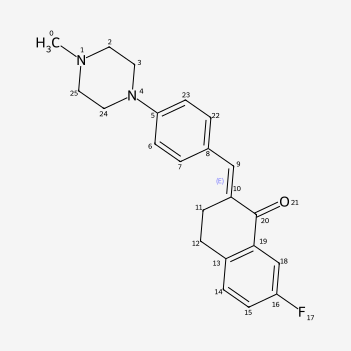 CN1CCN(c2ccc(/C=C3\CCc4ccc(F)cc4C3=O)cc2)CC1